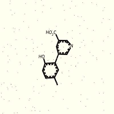 Cc1ccc(O)c(-c2cncc(C(=O)O)c2)c1